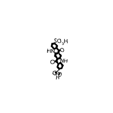 O=c1c2cc([SH](=O)=O)ccc2[nH]c2cc3c(=O)c4cc(S(=O)(=O)O)ccc4[nH]c3cc12